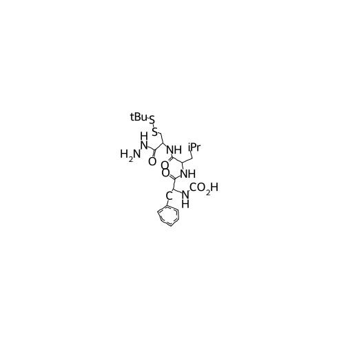 CC(C)CC(NC(=O)C(Cc1ccccc1)NC(=O)O)C(=O)NC(CSSC(C)(C)C)C(=O)NN